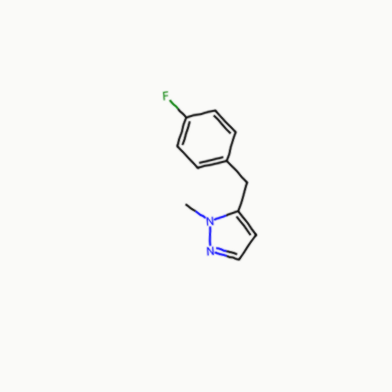 Cn1nccc1Cc1ccc(F)cc1